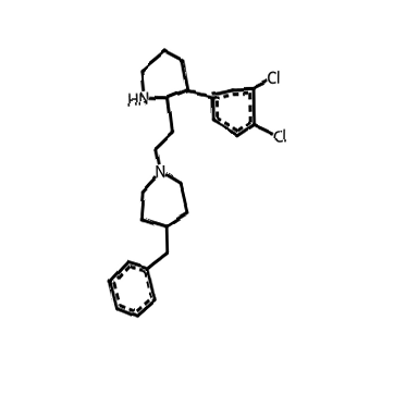 Clc1ccc(C2CCCNC2CCN2CCC(Cc3ccccc3)CC2)cc1Cl